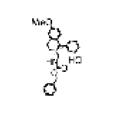 COc1ccc2c(c1)CC[C@H](CNC(=O)OCc1ccccc1)[C@@H]2c1ccccc1.Cl